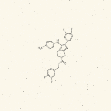 Cc1ccc(Nc2c(-c3ccc(F)c(F)c3)nc3n2CCN(C(=O)CCc2ccc(F)c(F)c2)C3)cc1